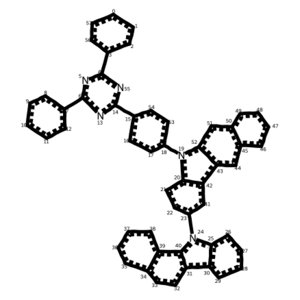 c1ccc(-c2nc(-c3ccccc3)nc(-c3ccc(-n4c5ccc(-n6c7ccccc7c7ccc8ccccc8c76)cc5c5cc6ccccc6cc54)cc3)n2)cc1